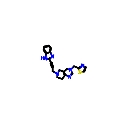 C(#Cc1nc2ccccc2[nH]1)CN1CCC2=C(CN(Cc3nccs3)C=N2)C1